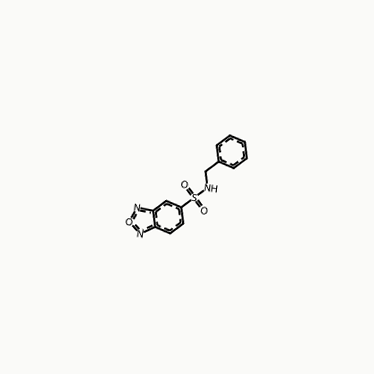 O=S(=O)(NCc1ccccc1)c1ccc2nonc2c1